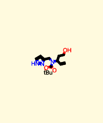 C=CC(CCO)N(Cc1cc[nH]n1)C(=O)OC(C)(C)C